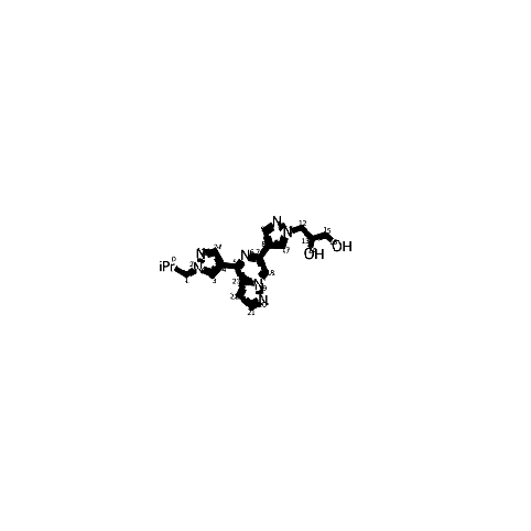 CC(C)Cn1cc(-c2nc(-c3cnn(CC(O)CO)c3)cn3nccc23)cn1